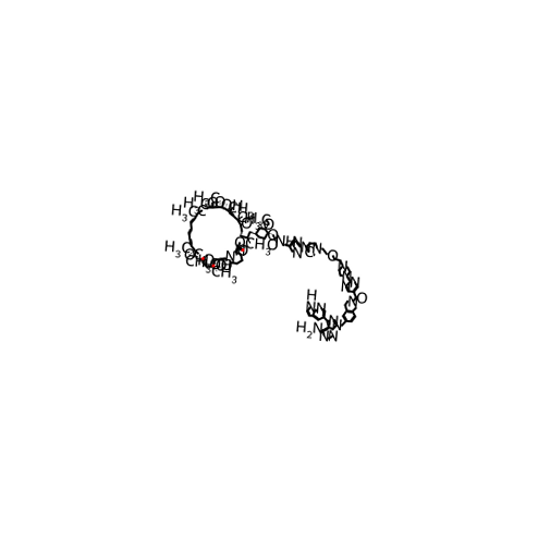 CO[C@H]1C[C@@H]2CC[C@@H](C)[C@@](O)(O2)C(=O)C(=O)N2CCCC[C@H]2C(=O)O[C@H]([C@H](C)C[C@@H]2CC[C@@H](OC(=O)NCc3cnc(N4CCN(CCOCCN5CCN(c6ncc(C(=O)N7CCc8cc(Cn9nc(-c%10cnc%11[nH]ccc%11c%10)c%10c(N)ncnc%109)ccc8C7)cn6)CC5)CC4)nc3)[C@H](OC)C2)CC(=O)[C@H](C)/C=C(\C)[C@@H](O)[C@@H](OC)C(=O)[C@H](C)C[C@H](C)/C=C/C=C/C=C/1C